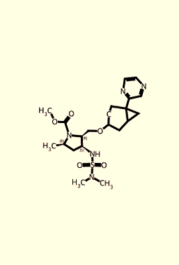 COC(=O)N1[C@H](C)C[C@H](NS(=O)(=O)N(C)C)[C@@H]1COC1CCC2(c3cnccn3)CC2C1